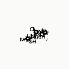 CS(=O)(=O)C(Nc1cc(Cl)cc(C(=O)NCc2ccc(C#N)cc2O)c1)c1ccccn1